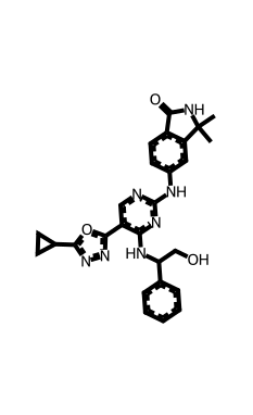 CC1(C)NC(=O)c2ccc(Nc3ncc(-c4nnc(C5CC5)o4)c(NC(CO)c4ccccc4)n3)cc21